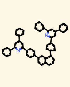 c1ccc(-c2cc(-c3ccccc3)nc(-c3ccc(-c4ccc5cccc(-c6ccc(-c7cc(-c8ccccc8)cc(-c8ccccc8)n7)cc6)c5c4)cc3)c2)cc1